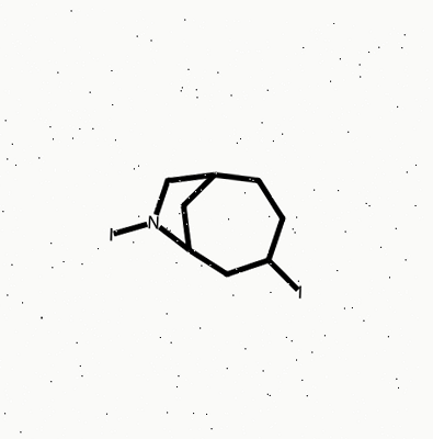 IC1CCC2CC(C1)N(I)C2